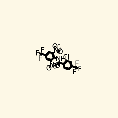 O=C(Nc1c([N+](=O)[O-])cc(C(F)(F)F)cc1[N+](=O)[O-])c1ccc(C(F)(F)F)cc1Cl